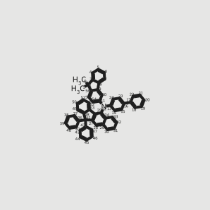 CC1(C)c2ccccc2-c2cc(N(c3ccc(-c4ccccc4)cc3)c3c4c(cc5ccccc35)C(c3ccccc3)(c3ccccc3)c3ccccc3-4)ccc21